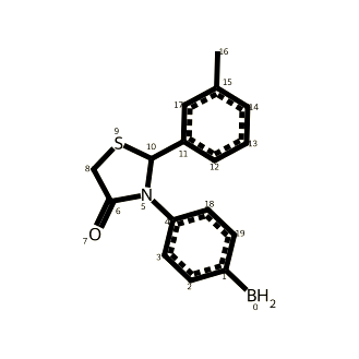 Bc1ccc(N2C(=O)CSC2c2cccc(C)c2)cc1